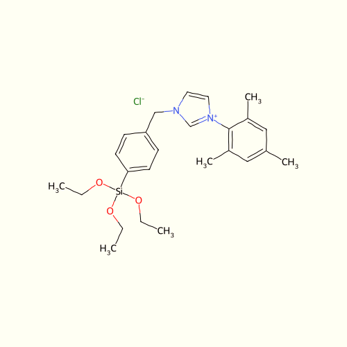 CCO[Si](OCC)(OCC)c1ccc(Cn2cc[n+](-c3c(C)cc(C)cc3C)c2)cc1.[Cl-]